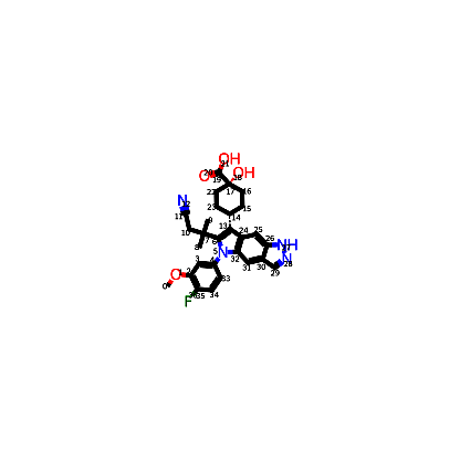 COc1cc(-n2c(C(C)(C)CC#N)c([C@H]3CC[C@](O)(C(=O)O)CC3)c3cc4[nH]ncc4cc32)ccc1F